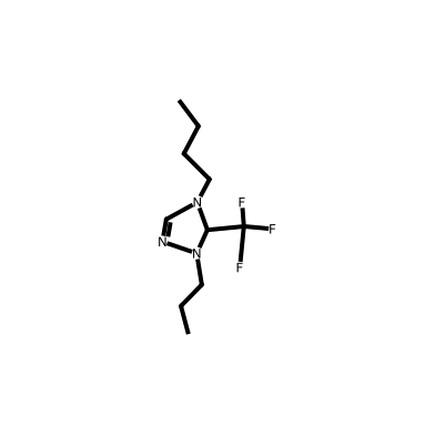 CCCCN1C=NN(CCC)C1C(F)(F)F